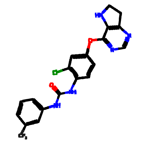 O=C(Nc1cccc(C(F)(F)F)c1)Nc1ccc(Oc2ncnc3c2NCC3)cc1Cl